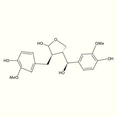 COc1cc(C[C@H]2C(O)OC[C@@H]2[C@H](O)c2ccc(O)c(OC)c2)ccc1O